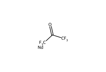 O=C(C(F)(F)F)C(F)(F)F.[Nd]